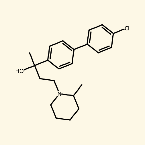 CC1CCCCN1CCC(C)(O)c1ccc(-c2ccc(Cl)cc2)cc1